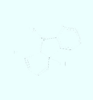 CC(C)C1=CC=CC2(C)c3ccccc3N(N)C12